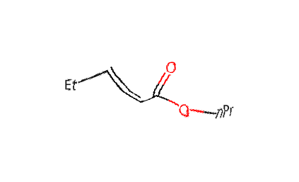 [CH2]CCOC(=O)C=CCC